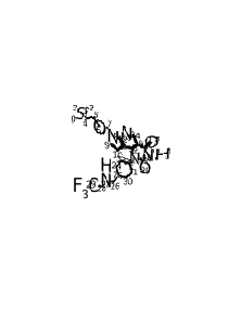 C[Si](C)(C)CCOCn1ccc2c1ncc1c(=O)[nH]c(=O)n([C@H]3CC[C@H](CNCC(F)(F)F)CC3)c12